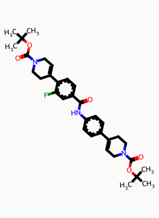 CC(C)(C)OC(=O)N1CC=C(c2ccc(NC(=O)c3ccc(C4=CCN(C(=O)OC(C)(C)C)CC4)c(F)c3)cc2)CC1